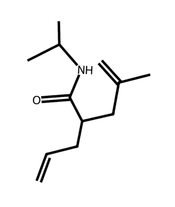 C=CCC(CC(=C)C)C(=O)NC(C)C